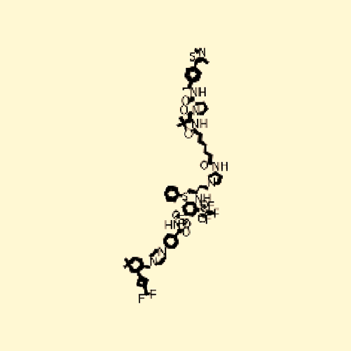 Cc1ncsc1-c1ccc([C@H](C)NC(=O)[C@@H]2CCCN2C(=O)C(NC(=O)CCCCCC(=O)N[C@@H]2CCN(CC[C@H](CSc3ccccc3)Nc3ccc(S(=O)(=O)NC(=O)c4ccc(N5CCN(CC6=C(C78CC(C(F)F)(C7)C8)CC(C)(C)CC6)CC5)cc4)cc3S(=O)(=O)C(F)(F)F)C2)C(C)(C)C)cc1